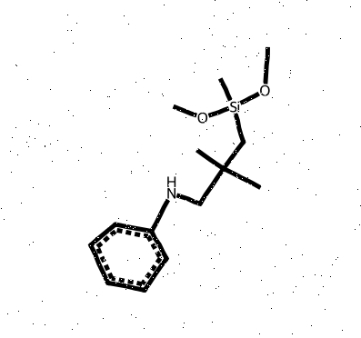 CO[Si](C)(CC(C)(C)CNc1ccccc1)OC